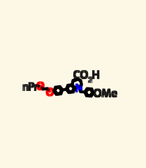 CCCOCCOc1ccc(-c2ccc3c(c2)C=C(C(=O)O)CCN3Cc2ccc(OC)cc2)cc1